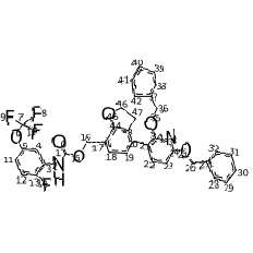 O=C(Nc1cc(OC(F)(F)F)ccc1F)OCc1ccc(-c2ccc(OCc3ccccc3)nc2OCc2ccccc2)c2c1OCC2